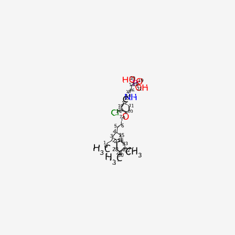 CCCCC(CCCOc1ccc(CNCCCP(=O)(O)O)cc1Cl)Cc1ccc(C)c(C)c1